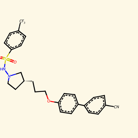 N#Cc1ccc(-c2ccc(OCCC[C@@H]3CCN(NS(=O)(=O)c4ccc(C(F)(F)F)cc4)C3)cc2)cc1